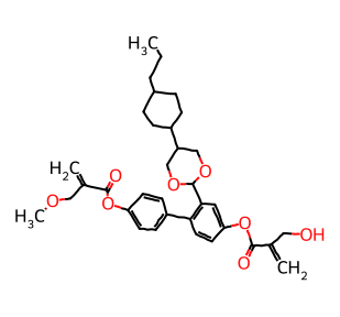 C=C(CO)C(=O)Oc1ccc(-c2ccc(OC(=O)C(=C)COC)cc2)c(C2OCC(C3CCC(CCC)CC3)CO2)c1